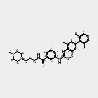 Cc1cc(-c2c(C)cccc2C)cc2c1N=C(Nc1cccc(C(=O)NCCCN3CCN(C)CC3)c1)NN2